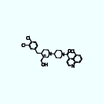 O=C(c1ccnc2cccc(Cl)c12)N1CCC(N2CCC(Cc3ccc(Cl)c(Cl)c3)[C@H](CO)C2)CC1